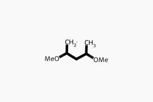 [CH2]C(CC(C)OC)OC